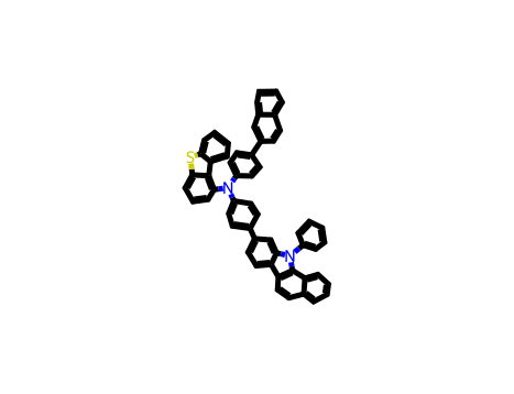 c1ccc(-n2c3cc(-c4ccc(N(c5ccc(-c6ccc7ccccc7c6)cc5)c5cccc6sc7ccccc7c56)cc4)ccc3c3ccc4ccccc4c32)cc1